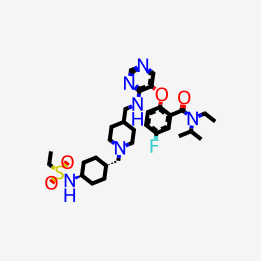 CCN(C(=O)c1cc(F)ccc1Oc1cncnc1NCC1CCN(C[C@H]2CC[C@H](NS(=O)(=O)CC)CC2)CC1)C(C)C